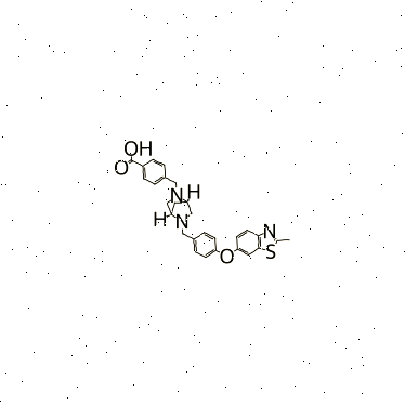 Cc1nc2ccc(Oc3ccc(CN4C[C@@H]5C[C@H]4CN5Cc4ccc(C(=O)O)cc4)cc3)cc2s1